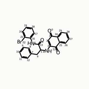 O=C1C=C(NC(Cc2ccccc2)C(=O)Nc2ccccc2Br)C(=O)c2ccccc21